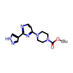 CC(C)(C)OC(=O)N1CCN(c2ccnc(-c3cn[nH]c3)n2)CC1